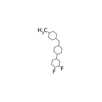 CC1CCC(CC2CCC(C3CCC(F)C(F)C3)CC2)CC1